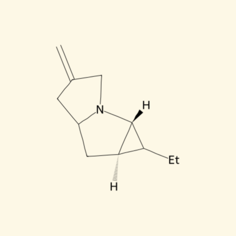 C=C1CC2C[C@@H]3C(CC)[C@H]3N2C1